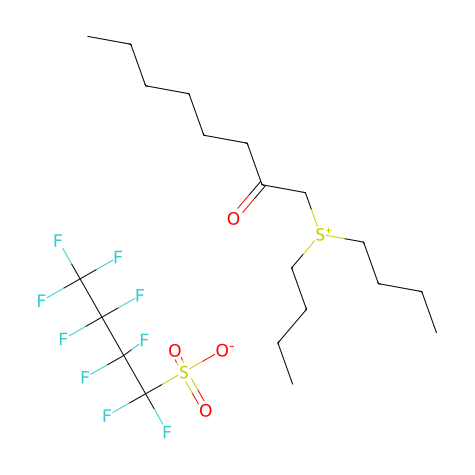 CCCCCCC(=O)C[S+](CCCC)CCCC.O=S(=O)([O-])C(F)(F)C(F)(F)C(F)(F)C(F)(F)F